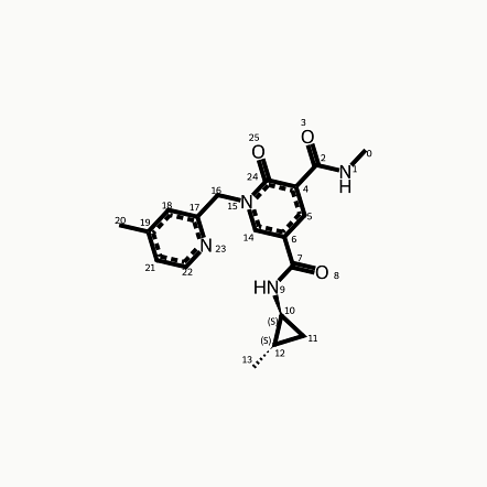 CNC(=O)c1cc(C(=O)N[C@H]2C[C@@H]2C)cn(Cc2cc(C)ccn2)c1=O